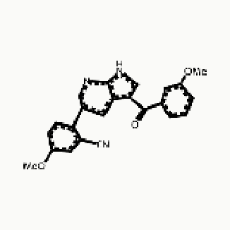 COc1cccc(C(=O)c2c[nH]c3ncc(-c4ccc(OC)cc4C#N)cc23)c1